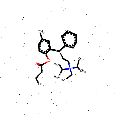 CCCC(=O)Oc1ccc(C)cc1[C@H](CC[N+](CC)(C(C)C)C(C)C)c1ccccc1.[I-]